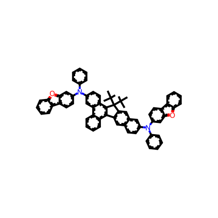 CC(C)(C)C1(C(C)(C)C)c2cc3cc(N(c4ccccc4)c4ccc5c(c4)oc4ccccc45)ccc3cc2-c2c1c1ccc(N(c3ccccc3)c3ccc4c(c3)oc3ccccc34)cc1c1ccccc21